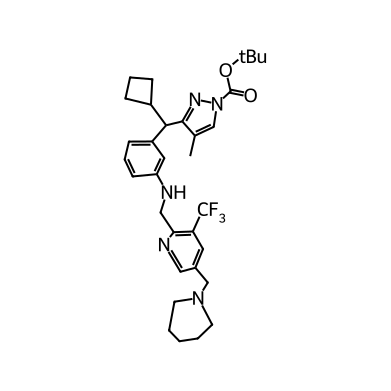 Cc1cn(C(=O)OC(C)(C)C)nc1C(c1cccc(NCc2ncc(CN3CCCCC3)cc2C(F)(F)F)c1)C1CCC1